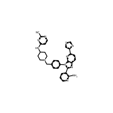 N#Cc1nccc(NC2CCN(Cc3ccc(-n4c(-c5cccnc5N)nc5ccc(-c6cscn6)nc54)cc3)CC2)n1